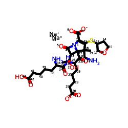 CC(O)C1C(=O)N2C(C(=O)[O-])=C(SC3CCOC3)C(C)(CN)C12C(=O)C(CCCCC(=O)[O-])NC(=O)C(N)CCCCC(=O)O.[Na+].[Na+]